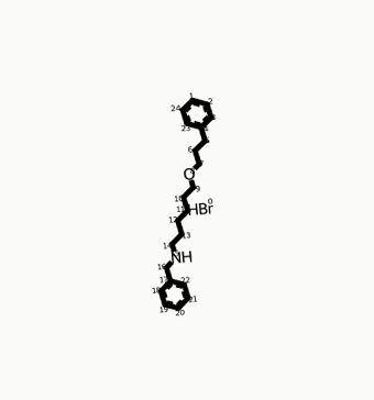 Br.c1ccc(CCCOCCCCCCNCc2ccccc2)cc1